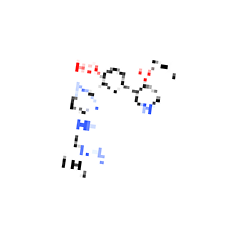 CC[C@@H](N)CNc1ccnc(-c2cc(-c3cnccc3OC)ccc2O)n1